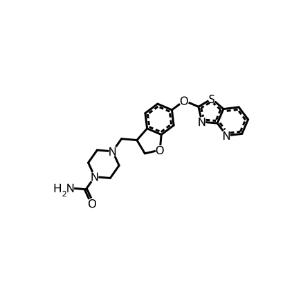 NC(=O)N1CCN(CC2COc3cc(Oc4nc5ncccc5s4)ccc32)CC1